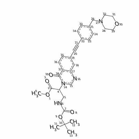 COC(=O)C(CNC(=O)OC(C)(C)C)n1cnc2cc(C#Cc3ccc(CN4CCOCC4)cc3)ccc2c1=O